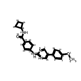 COc1ccc(-c2cnc(Nc3ccc(C(=O)NC4CCC4)cc3)nc2)cc1